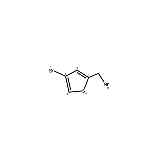 BrCc1cc(Br)cs1